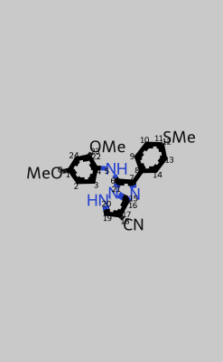 COc1ccc(Nc2c(-c3ccc(SC)cc3)nc3c(C#N)c[nH]n23)c(OC)c1